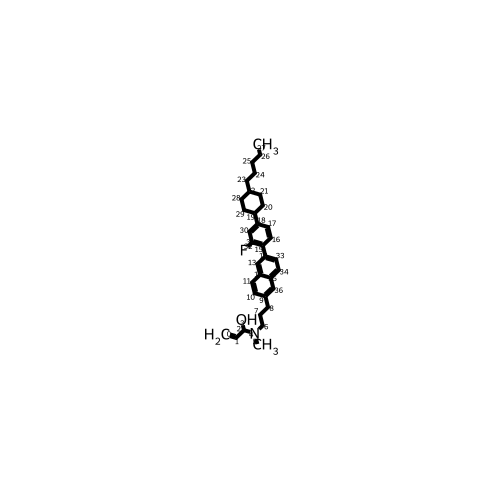 C=CC(O)N(C)CCCc1ccc2cc(-c3ccc(C4CCC(CCCCC)CC4)cc3F)ccc2c1